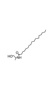 CCCCCCCCCCCCCCCCC(=O)NC(C)CO